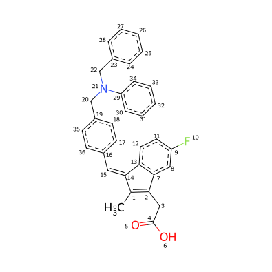 CC1=C(CC(=O)O)c2cc(F)ccc2/C1=C\c1ccc(CN(Cc2ccccc2)c2ccccc2)cc1